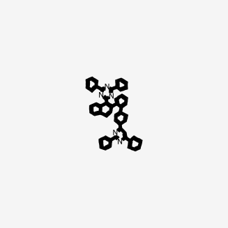 c1ccc(-c2cc(-c3ccc(-c4ccccc4-c4ccc5ccccc5c4-c4nc(-c5ccccc5)nc(-c5ccccc5)n4)cc3)nc(-c3ccccc3)n2)cc1